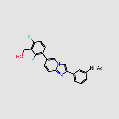 CC(=O)Nc1cccc(-c2cn3cc(-c4ccc(F)c(CO)c4F)ccc3n2)c1